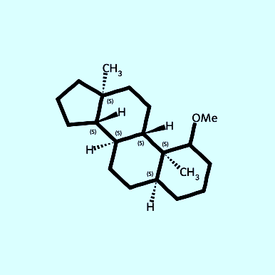 COC1CCC[C@H]2CC[C@H]3[C@@H]4CCC[C@@]4(C)CC[C@@H]3[C@@]12C